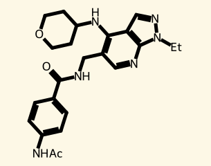 CCn1ncc2c(NC3CCOCC3)c(CNC(=O)c3ccc(NC(C)=O)cc3)cnc21